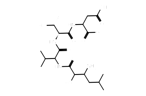 CC(C)CC(N)C(O)C(=O)NC(C(=O)N[C@H](C(=O)NC(CC(=O)O)C(=O)O)[C@@H](C)O)C(C)C